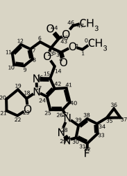 CCOC(=O)C(Cc1ccccc1)(OCc1nn(C2CCCCO2)c2cc(-n3nnc4c(F)cc(C5CC5)cc43)ccc12)C(=O)OCC